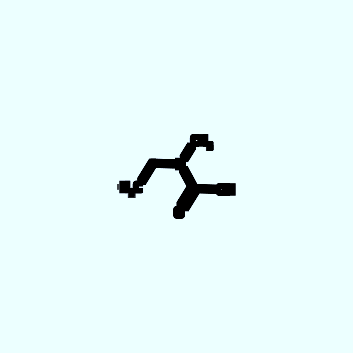 [CH2]CN(C)C(=O)O